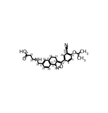 CC(C)Oc1ccc(-c2onc3c2CCc2cc(CNCCC(=O)O)ccc2-3)cc1C#N